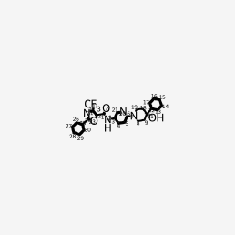 O=C(Nc1ccc(N2CCC(O)(c3ccccc3)CC2)nc1)c1oc(-c2ccccc2)nc1C(F)(F)F